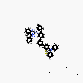 c1ccc(-c2nc(-n3c4ccccc4c4ccc(-c5cccc(-c6ccc7c(c6)Sc6ccccc6N7c6ccccc6)c5)cc43)nc3ccccc23)cc1